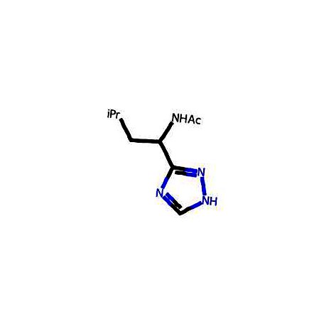 CC(=O)NC(CC(C)C)c1nc[nH]n1